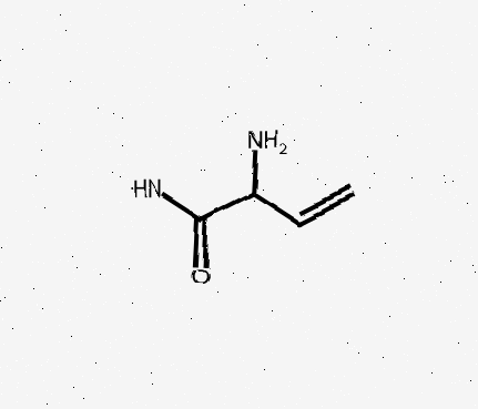 C=CC(N)C([NH])=O